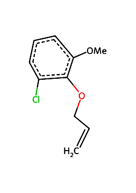 C=CCOc1c(Cl)cccc1OC